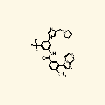 Cc1ccc(C(=O)Nc2cc(-n3cnc(CN4CCCC4)c3)cc(C(F)(F)F)c2)cc1-c1cnc2cnccn12